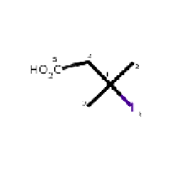 CC(C)(I)CC(=O)O